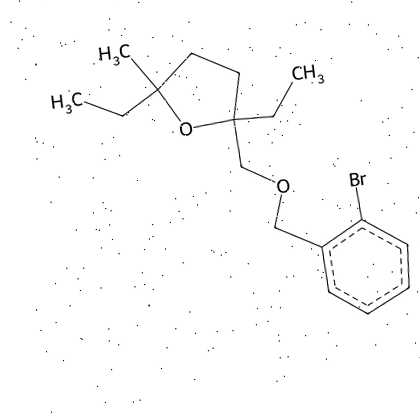 CCC1(C)CCC(CC)(COCc2ccccc2Br)O1